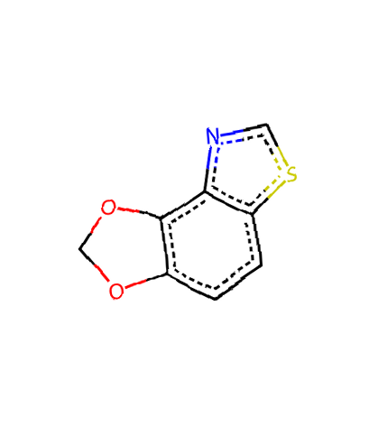 c1nc2c3c(ccc2s1)OCO3